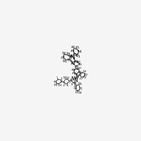 c1ccc(-c2ccc(-c3cc(-c4ccccc4)nc(-n4c5ccccc5c5cc(-c6ccc7c(c6)c6ccccc6n7-c6ccccc6)ccc54)n3)cc2)cc1